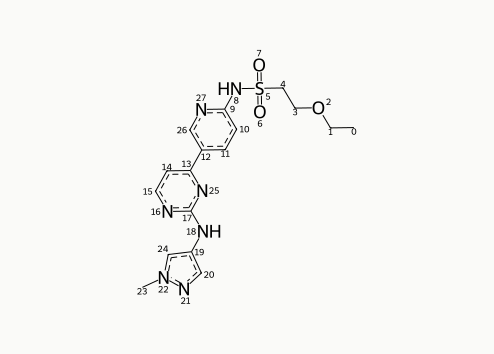 CCOCCS(=O)(=O)Nc1ccc(-c2ccnc(Nc3cnn(C)c3)n2)cn1